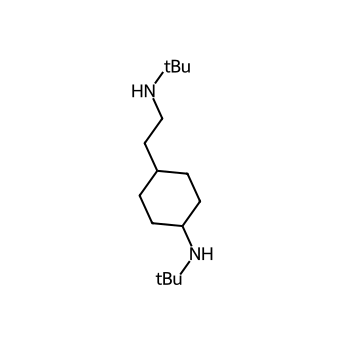 CC(C)(C)NCCC1CCC(NC(C)(C)C)CC1